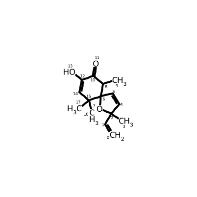 C=CC1(C)C=CC2(O1)C(C)C(=O)C(O)=CC2(C)C